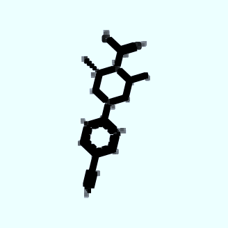 CC1CN(c2ncc(C#N)cn2)C[C@H](C)N1C(=O)Cl